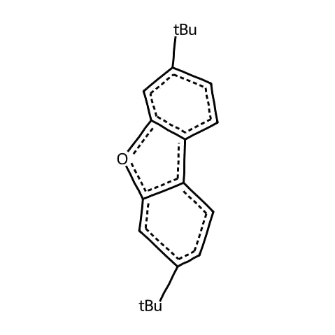 CC(C)(C)c1ccc2c(c1)oc1cc(C(C)(C)C)ccc12